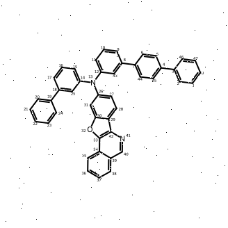 c1ccc(-c2ccc(-c3cccc(N(c4cccc(-c5ccccc5)c4)c4ccc5c(c4)oc4c6ccccc6cnc54)c3)cc2)cc1